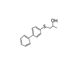 CC(O)CSc1ccc(-c2ccccc2)cc1